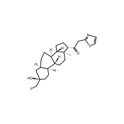 C[C@]12CC[C@H]3[C@@H](CC[C@@H]4C[C@@](O)(CF)CC[C@@H]43)[C@@H]1CC[C@@H]2C(=O)Cc1nccs1